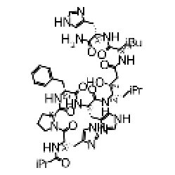 CC[C@H](C)[C@H](NC(=O)C[C@H](O)[C@H](CC(C)C)NC(=O)[C@H](Cc1c[nH]cn1)NC(=O)[C@H](Cc1ccccc1)NC(=O)[C@@H]1CCCN1C(=O)[C@H](Cc1c[nH]cn1)NC(=O)C(C)C)C(=O)N[C@@H](Cc1c[nH]cn1)C(N)=O